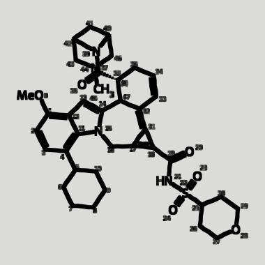 COc1ccc(C2CCCCC2)c2c1cc1n2CC2=C(C(=O)NS(=O)(=O)C3CCOCC3)C2=C2C=CC[C@@H](C(=O)N3C4CC3CN(C)C4)C21